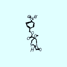 COC1(C(=O)OCc2ccc([N+](=O)[O-])cc2)CS[C@@H]2CC(=O)N2C1